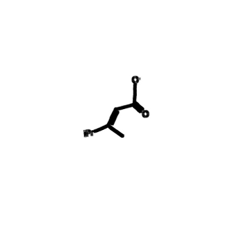 CC(=CC([O])=O)C(C)C